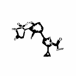 COC(=O)n1nc(-c2ccc(O)c(N3CC(=O)NS3(=O)=O)c2F)cc1C1CC1